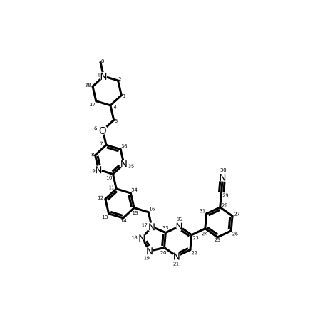 CN1CCC(COc2cnc(-c3cccc(Cn4nnc5ncc(-c6cccc(C#N)c6)nc54)c3)nc2)CC1